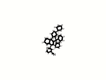 N#Cc1ccnc(-c2cc3c(c4ccccc24)-c2ccc(-c4ccccc4)cc2C32c3ccccc3-c3ccccc32)c1